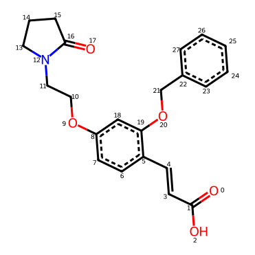 O=C(O)/C=C/c1ccc(OCCN2CCCC2=O)cc1OCc1ccccc1